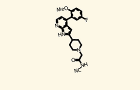 COc1ccc(F)cc1-c1ccnc2[nH]c(C3CCN(CC(=O)NC#N)CC3)cc12